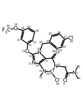 CN(C)C(=O)CN1C(=O)c2c(nc(Oc3cccc(OC(F)(F)F)c3)n2Cc2ccc(Cl)cc2)N(C)[S+]1[O-]